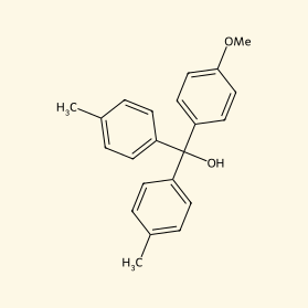 COc1ccc(C(O)(c2ccc(C)cc2)c2ccc(C)cc2)cc1